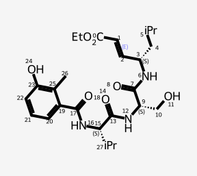 CCOC(=O)/C=C/[C@H](CC(C)C)NC(=O)[C@H](CO)NC(=O)[C@@H](NC(=O)c1cccc(O)c1C)C(C)C